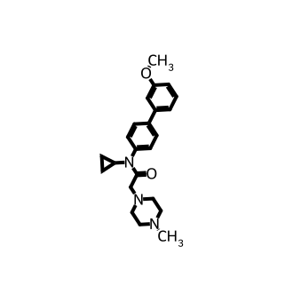 COc1cccc(-c2ccc(N(C(=O)CN3CCN(C)CC3)C3CC3)cc2)c1